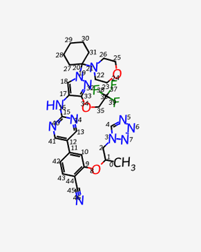 CC(Cn1cnnn1)Oc1cc(-c2cnc(Nc3cn(C4(N5CCOCC5)CCCCC4)nc3OCC(F)(F)F)nc2)ccc1C#N